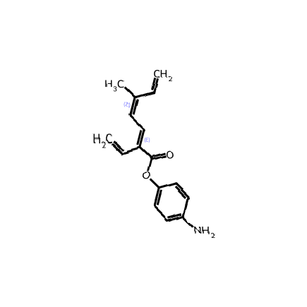 C=C/C(C)=C\C=C(/C=C)C(=O)Oc1ccc(N)cc1